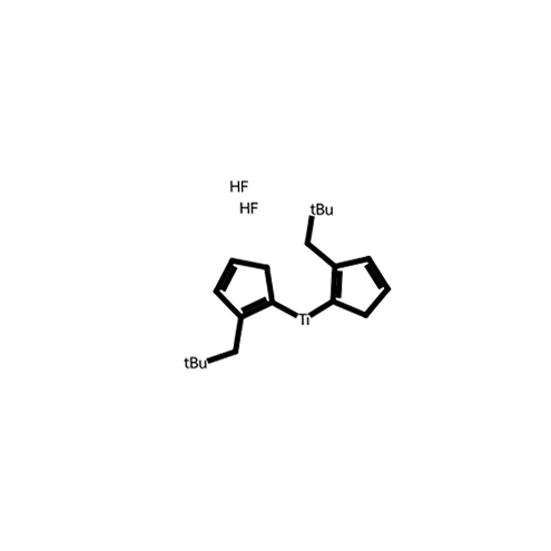 CC(C)(C)CC1=[C]([Ti][C]2=C(CC(C)(C)C)C=CC2)CC=C1.F.F